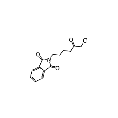 O=C(CCl)CCCCN1C(=O)c2ccccc2C1=O